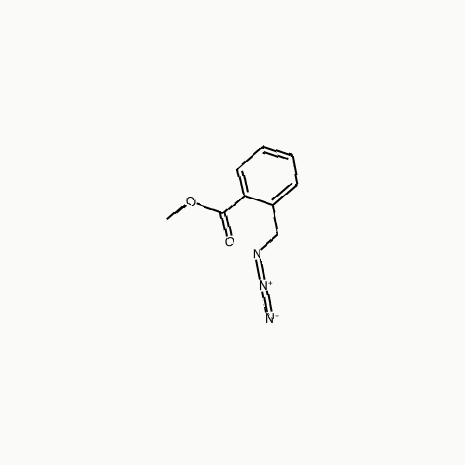 COC(=O)c1ccccc1CN=[N+]=[N-]